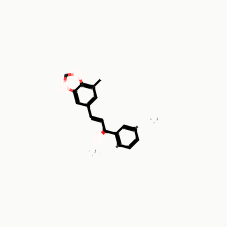 COc1ccc(OC)c(C(=O)/C=C/c2cc(C)c3c(c2)OCO3)c1